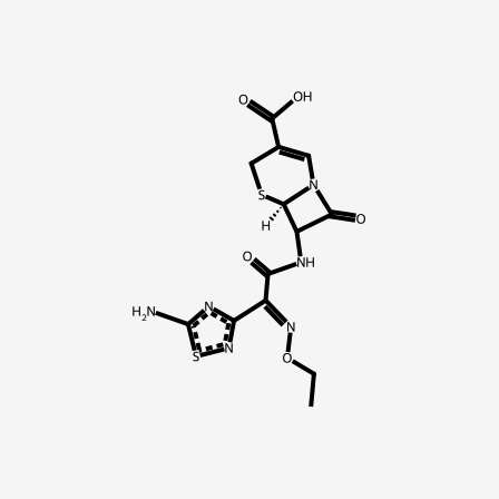 CCON=C(C(=O)NC1C(=O)N2C=C(C(=O)O)CS[C@H]12)c1nsc(N)n1